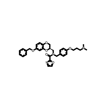 CN(C)CCCOc1ccc(CN(C[C@@H]2COc3ccc(OCc4ccccc4)cc3O2)C(=O)c2ncco2)cc1